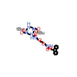 CC(C)(C)OC(=O)CN1CCNCCN(CC(=O)OC(C)(C)C)CCN(CC(=O)NCCOCCOCCNC(=O)OCC2c3ccccc3-c3ccccc32)CC1